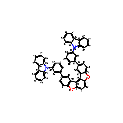 c1cc(-c2ccc3oc4ccc5oc6ccc(-c7cccc(-n8c9ccccc9c9ccccc98)c7)cc6c5c4c3c2)cc(-n2c3ccccc3c3ccccc32)c1